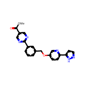 COC(=O)c1cnc(-c2cccc(COc3ccc(-c4ccn[nH]4)nc3)c2)nc1